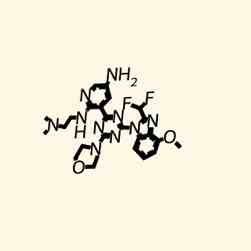 COc1cccc2c1nc(C(F)F)n2-c1nc(-c2cc(N)cnc2NCCN(C)C)nc(N2CCOCC2)n1